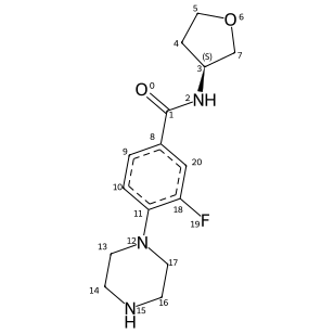 O=C(N[C@H]1CCOC1)c1ccc(N2CCNCC2)c(F)c1